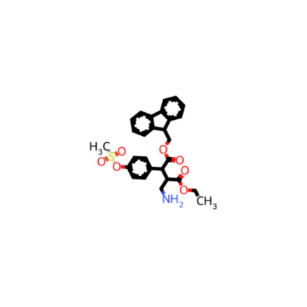 CCOC(=O)C(CN)C(C(=O)OCC1c2ccccc2-c2ccccc21)c1ccc(OS(C)(=O)=O)cc1